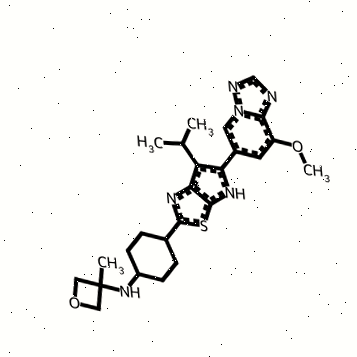 COc1cc(-c2[nH]c3sc(C4CCC(NC5(C)COC5)CC4)nc3c2C(C)C)cn2ncnc12